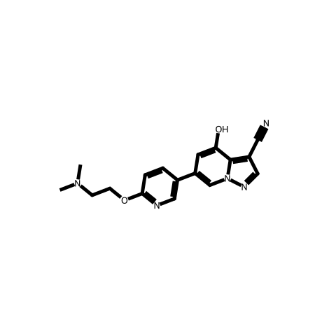 CN(C)CCOc1ccc(-c2cc(O)c3c(C#N)cnn3c2)cn1